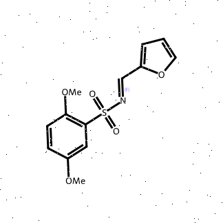 COc1ccc(OC)c(S(=O)(=O)/N=C/c2ccco2)c1